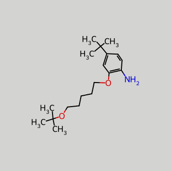 CC(C)(C)OCCCCCOc1cc(C(C)(C)C)ccc1N